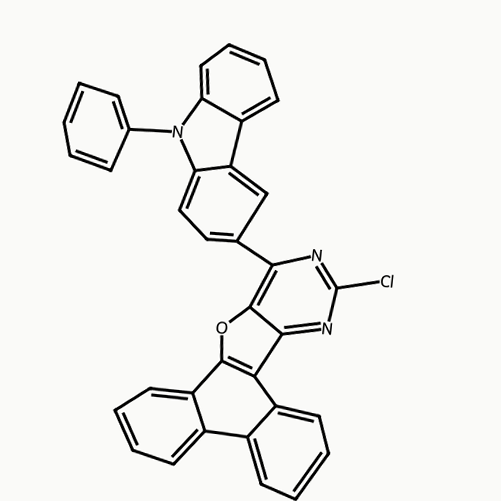 Clc1nc(-c2ccc3c(c2)c2ccccc2n3-c2ccccc2)c2oc3c4ccccc4c4ccccc4c3c2n1